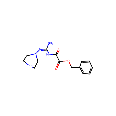 NC(=NN1CCNCC1)NC(=O)C(=O)OCc1ccccc1